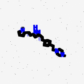 CN1CCN(CCc2ccc(/C=C/c3cc(/C=C/c4cccn4C)[nH]n3)cc2)CC1